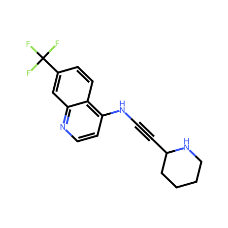 FC(F)(F)c1ccc2c(NC#CC3CCCCN3)ccnc2c1